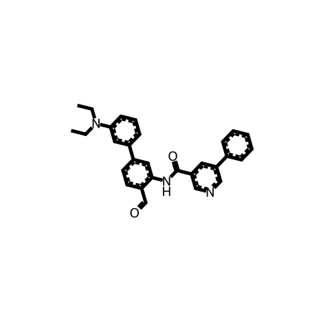 CCN(CC)c1cccc(-c2ccc(C=O)c(NC(=O)c3cncc(-c4ccccc4)c3)c2)c1